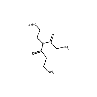 NCCC(=O)N(CC[C]=O)C(=O)CN